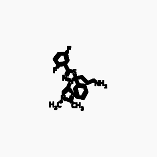 Cc1nc(N2N=C(c3cc(F)ccc3F)SC2(CCCN)c2ccccc2)cn1C